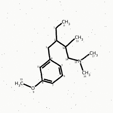 CCC(Cc1cccc(OC)c1)C(C)CN(C)C